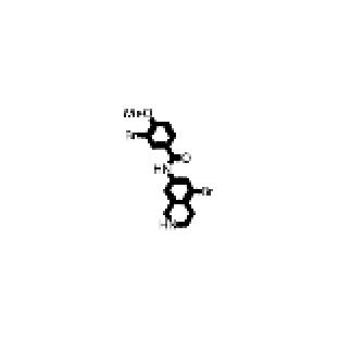 COc1ccc(C(=O)Nc2cc(Br)c3c(c2)CNCC3)cc1Br